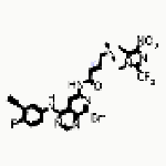 C#Cc1cc(Nc2ncnc3cnc(NC(=O)/C=C/C[N+](C)(C)Cc4c([N+](=O)[O-])nc(C(F)(F)F)n4C)cc23)ccc1F.[Br-]